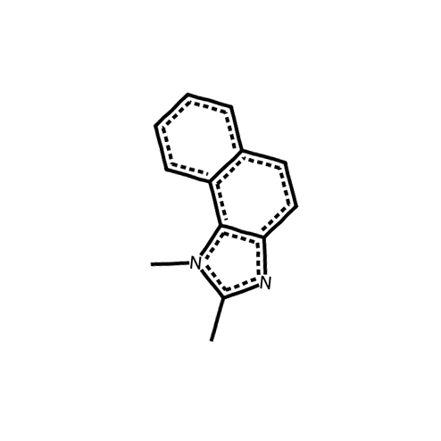 Cc1nc2ccc3ccccc3c2n1C